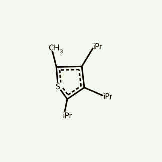 Cc1sc(C(C)C)c(C(C)C)c1C(C)C